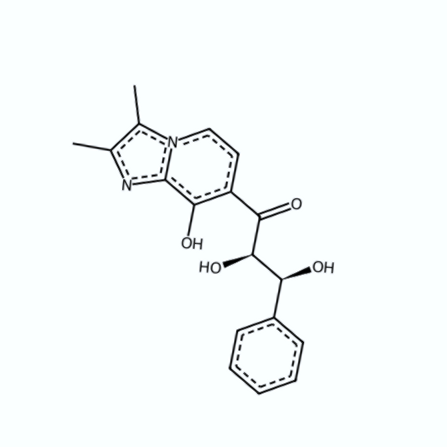 Cc1nc2c(O)c(C(=O)[C@H](O)[C@@H](O)c3ccccc3)ccn2c1C